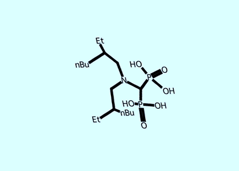 CCCCC(CC)CN(CC(CC)CCCC)C(P(=O)(O)O)P(=O)(O)O